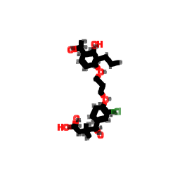 CCCc1c(OCCCOc2ccc(C(=O)C(C)(C)CC(=O)O)cc2Cl)ccc(C(C)=O)c1O